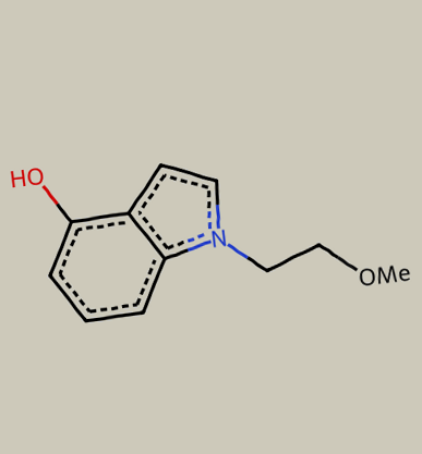 COCCn1ccc2c(O)cccc21